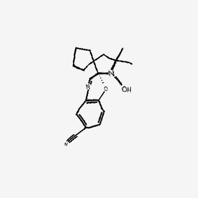 CC1(C)CC2(CCCC2)[C@]2(C=Nc3cc(C#N)ccc3O2)N1O